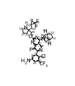 Nc1cc(-c2ncc3c(N4C[C@H]5CC[C@@H](C4)N5)nc(OC[C@@]45CCCN4C[C@@]4(CC4(F)F)C5)nc3c2F)c(Cl)c(C(F)(F)F)c1